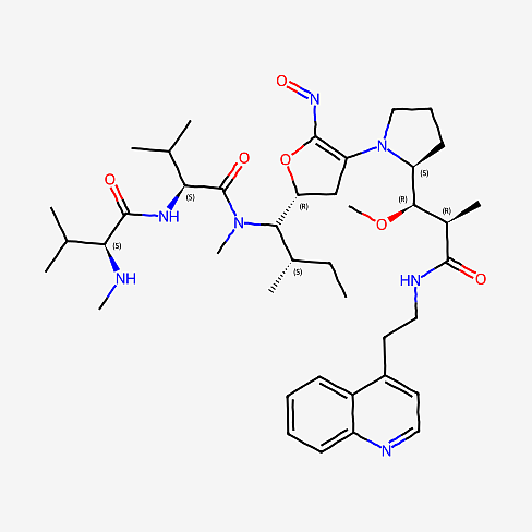 CC[C@H](C)C([C@H]1CC(N2CCC[C@H]2[C@H](OC)[C@@H](C)C(=O)NCCc2ccnc3ccccc23)=C(N=O)O1)N(C)C(=O)[C@@H](NC(=O)[C@@H](NC)C(C)C)C(C)C